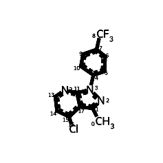 Cc1nn(-c2ccc(C(F)(F)F)cc2)c2nccc(Cl)c12